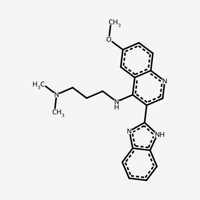 COc1ccc2ncc(-c3nc4ccccc4[nH]3)c(NCCCN(C)C)c2c1